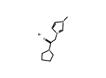 Cn1cc[n+](CC(=O)N2CCCC2)c1.[Br-]